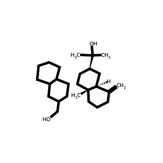 C=C1CCC[C@]2(C)CC[C@@H](C(C)(C)O)C[C@@H]12.OCC1CCC2CCCCC2C1